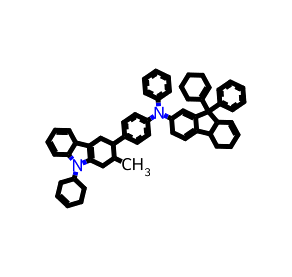 CC1CC2=C(CC1c1ccc(N(c3ccccc3)C3C=C4C(=CC3)C3CCC=CC3C4(C3=CCCCC3)c3ccccc3)cc1)C1C=CC=CC1N2C1CC=CCC1